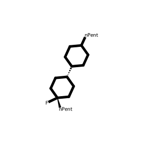 CCCCCC1CCC([C@H]2CC[C@](F)(CCCCC)CC2)CC1